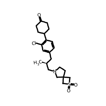 C[C@@H](Cc1ccc(C2CCC(=O)CC2)c(Cl)c1)CN1CCC2(C1)CS(=O)(=O)C2